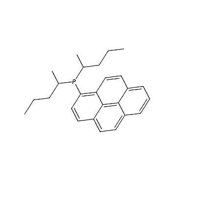 CCCC(C)P(c1ccc2ccc3cccc4ccc1c2c34)C(C)CCC